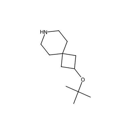 CC(C)(C)OC1CC2(CCNCC2)C1